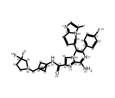 Cc1cnc2ccc(-c3c(-c4ccc(F)cc4)nc(N)c4nc(C(=O)NC56CC(CN7CCC(F)(F)C7)(C5)C6)cn34)cn12